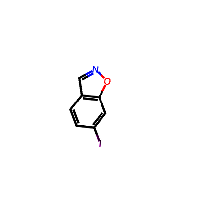 Ic1ccc2cnoc2c1